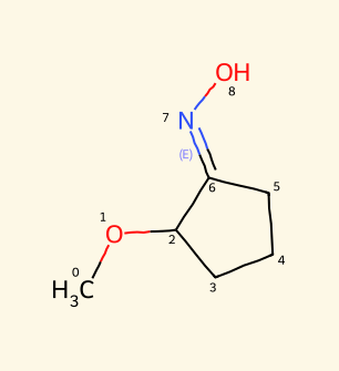 COC1CCC/C1=N\O